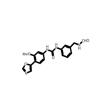 COc1cc(NC(=O)Nc2cccc(CNC=O)c2)ccc1-c1cnco1